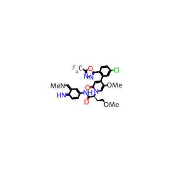 CN/C=C1/C=C(NC(=O)[C@H](CCOC)n2cc(OC)c(-c3cc(Cl)ccc3-c3nnc(C(F)(F)F)o3)cc2=O)C=CC1=N